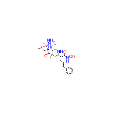 CCCC(CC(C)C)(C(=O)NN)C(=O)C1(C)CCN[C@@H]([C@H](C/C=C/c2ccccc2)C(=O)NO)C1